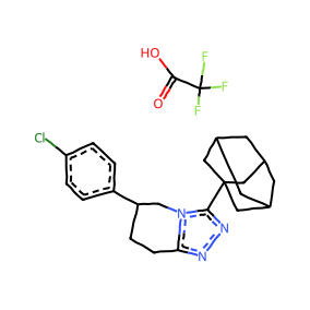 Clc1ccc(C2CCc3nnc(C45CC6CC(CC(C6)C4)C5)n3C2)cc1.O=C(O)C(F)(F)F